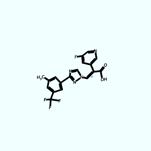 Cc1cc(-c2ncn(/C=C(/C(=O)O)c3cncc(F)c3)n2)cc(C(F)(F)F)c1